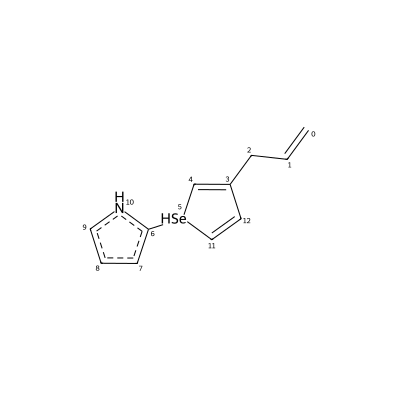 C=CCC1=C[SeH](c2ccc[nH]2)C=C1